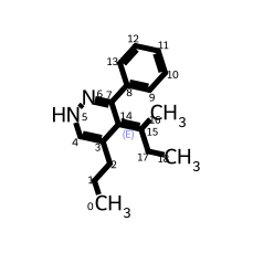 CCCC1=CNN=C(c2ccccc2)/C1=C(\C)CC